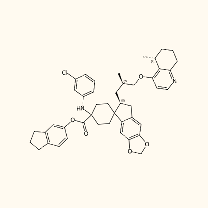 C[C@@H](COc1ccnc2c1[C@H](C)CCC2)C[C@H]1Cc2cc3c(cc2C12CCC(Nc1cccc(Cl)c1)(C(=O)Oc1ccc4c(c1)CCC4)CC2)OCO3